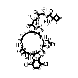 CC[C@H](NC(=O)C1(C(F)(F)F)CCC1)C(=O)N[C@@H](C)C(=O)N(C)[C@H]1CCCCNC(=O)C(C)(C)NC(=O)[C@H](Cc2cc(Cl)ccc2Cl)N(C)C(=O)[C@H](CC(C)C)NC1=O